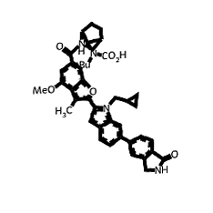 COc1cc(C(=O)N2CC3CCC2[C@@H]3N(C(=O)O)C(C)(C)C)cc2oc(-c3cc4ccc(-c5ccc6c(c5)CNC6=O)cc4n3CC3CC3)c(C)c12